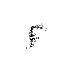 Cc1nnc(SCC2=C(C(=O)O)N3C(=O)[C@@H](NC(=O)Cc4ccc(CNC(=O)OC(C)(C)C)s4)[C@H]3SC2)s1